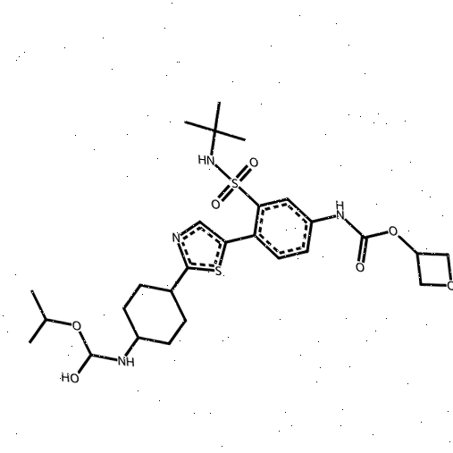 CC(C)OC(O)NC1CCC(c2ncc(-c3ccc(NC(=O)OC4COC4)cc3S(=O)(=O)NC(C)(C)C)s2)CC1